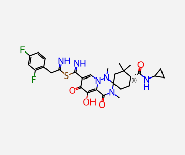 CN1C(=O)c2c(O)c(=O)c(C(=N)SC(=N)Cc3ccc(F)cc3F)cn2N(C)C12CC[C@@H](C(=O)NC1CC1)C(C)(C)C2